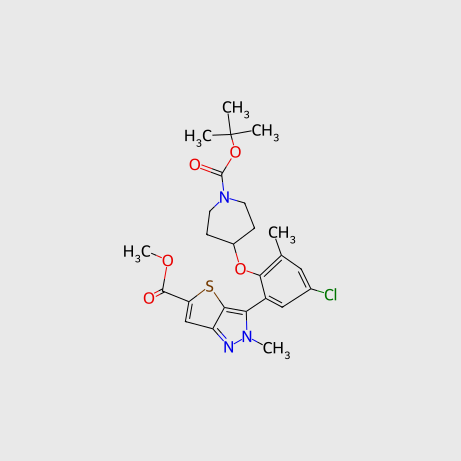 COC(=O)c1cc2nn(C)c(-c3cc(Cl)cc(C)c3OC3CCN(C(=O)OC(C)(C)C)CC3)c2s1